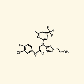 Cc1cc(C(F)(F)F)cc(N(CC(=O)N(C)c2ccc(F)c(Cl)c2)c2cn(CCO)cn2)n1